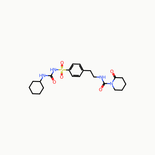 O=C(NC1CCCCC1)NS(=O)(=O)c1ccc(CCNC(=O)N2CCCCC2=O)cc1